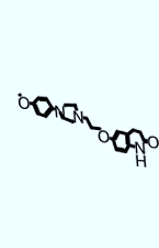 COc1ccc(N2CCN(CCCOc3ccc4c(c3)CCC(=O)N4)CC2)cc1